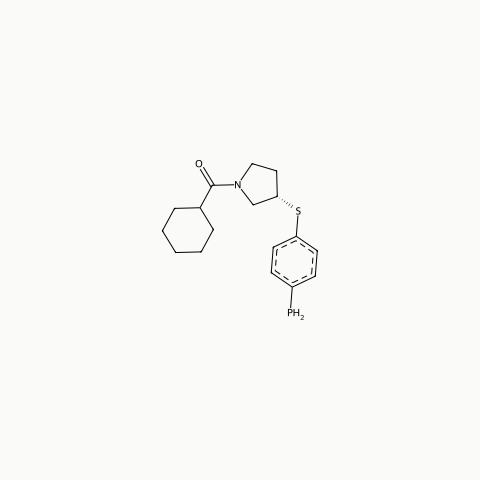 O=C(C1CCCCC1)N1CC[C@H](Sc2ccc(P)cc2)C1